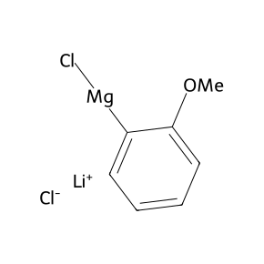 COc1cccc[c]1[Mg][Cl].[Cl-].[Li+]